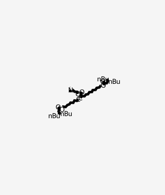 CCCCC(CCCC)CC(=O)OCCCCCCCCCCC(CCCCCCCCCCOC(=O)CC(CCCC)CCCC)C(=O)OCCCN(C)C